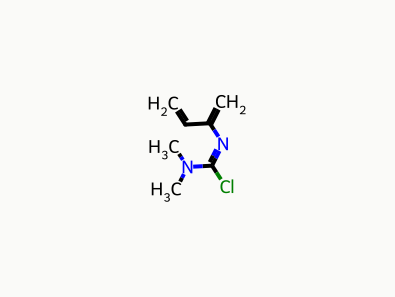 C=CC(=C)/N=C(/Cl)N(C)C